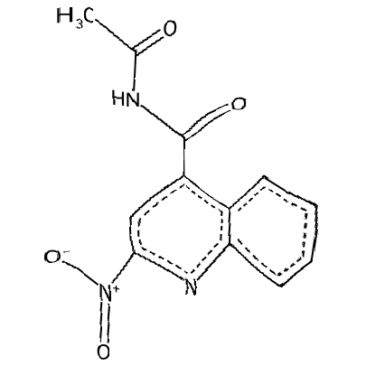 CC(=O)NC(=O)c1cc([N+](=O)[O-])nc2ccccc12